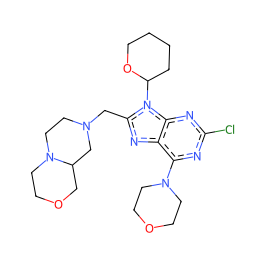 Clc1nc(N2CCOCC2)c2nc(CN3CCN4CCOCC4C3)n(C3CCCCO3)c2n1